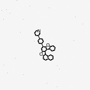 c1cncc(-c2ccc(-c3cc4oc5ccc6ccccc6c5c4c4c3oc3ccccc34)cc2)c1